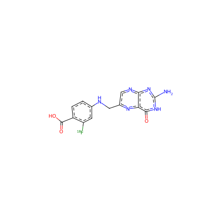 Nc1nc2ncc(CNc3ccc(C(=O)O)c([18F])c3)nc2c(=O)[nH]1